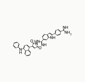 N=C(N)c1ccc(-c2cc3ccc(C(=N)NN4C(=O)C=C(c5ccc(Nc6ccccc6)c6ccccc56)C4=O)cc3[nH]2)cc1